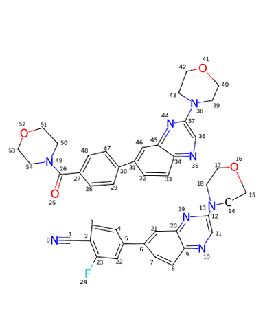 N#Cc1ccc(-c2ccc3ncc(N4CCOCC4)nc3c2)cc1F.O=C(c1ccc(-c2ccc3ncc(N4CCOCC4)nc3c2)cc1)N1CCOCC1